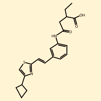 CCC(CC(=O)Nc1cccc(C=Cc2nc(C3CCC3)cs2)c1)C(=O)O